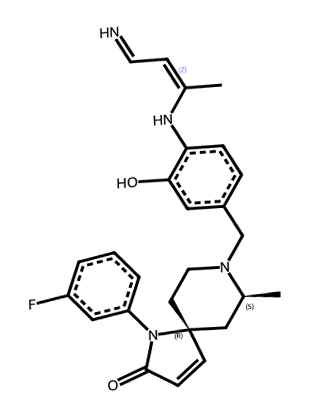 C/C(=C/C=N)Nc1ccc(CN2CC[C@]3(C=CC(=O)N3c3cccc(F)c3)C[C@@H]2C)cc1O